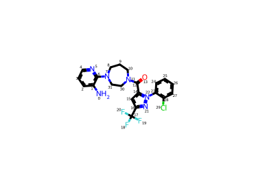 Nc1cccnc1N1CCCN(C(=O)c2cc(C(F)(F)F)nn2-c2ccccc2Cl)CC1